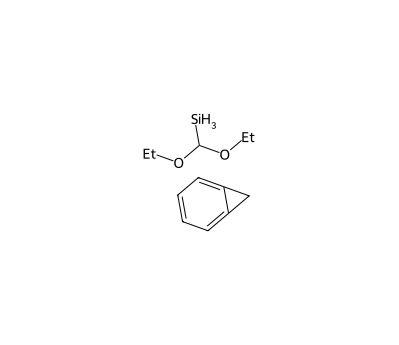 CCOC([SiH3])OCC.c1ccc2c(c1)C2